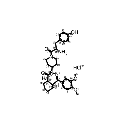 COc1ccc(C2=NN(C3CCN(C(=O)[C@H](N)Cc4ccc(O)cc4)CC3)C(=O)[C@@H]3CCCC[C@H]23)cc1OC.Cl